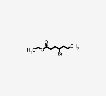 CCCC(Br)CCC(=O)OCC